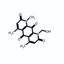 Cc1cc(=O)n(C)c2c1C(=O)c1c(C)cc(=O)n(CO)c1C2=O